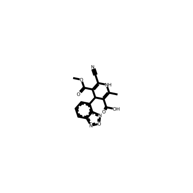 COC(=O)C1=C(C#N)NC(C)=C(C(=O)O)C1c1cccc2nonc12